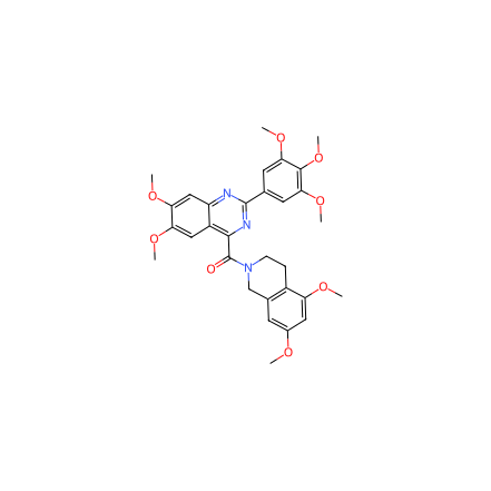 COc1cc2c(c(OC)c1)CCN(C(=O)c1nc(-c3cc(OC)c(OC)c(OC)c3)nc3cc(OC)c(OC)cc13)C2